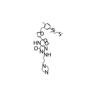 COc1nc(NCCCN2CCN(C)CC2)nc(OC)c1NC(=O)c1ccc(Cc2cc([Si](C)(C)CCSC)ccc2C)o1